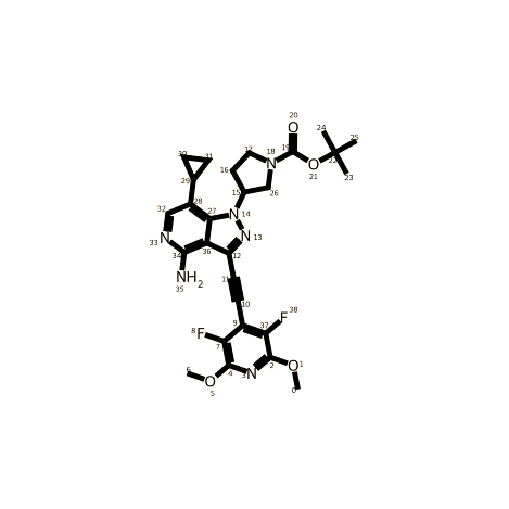 COc1nc(OC)c(F)c(C#Cc2nn(C3CCN(C(=O)OC(C)(C)C)C3)c3c(C4CC4)cnc(N)c23)c1F